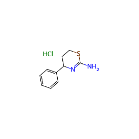 Cl.NC1=NC(c2ccccc2)CCS1